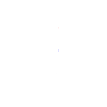 [CH2]c1ccccc1CN1CCC(O)C1